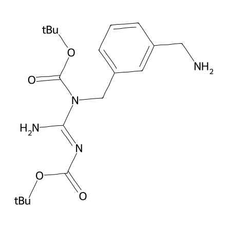 CC(C)(C)OC(=O)N=C(N)N(Cc1cccc(CN)c1)C(=O)OC(C)(C)C